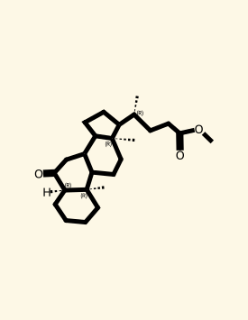 COC(=O)CC[C@@H](C)C1CCC2C3CC(=O)[C@@H]4CCCC[C@]4(C)C3CC[C@@]21C